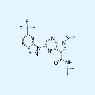 CC(C)(C)NC(=O)c1cn(SF)c2ncc(-n3ncc4ccc(C(F)(F)F)cc43)nc12